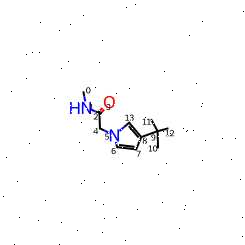 CNC(=O)Cn1ccc(C(C)(C)C)c1